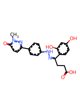 Cn1nc(-c2ccc(NN=C(CCC(=O)O)c3ccc(O)cc3O)cc2)ccc1=O